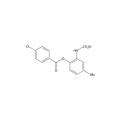 CCOC(=O)Nc1cc(C(C)(C)C)ccc1OC(=O)c1ccc(Cl)cc1